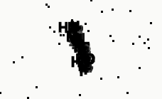 Cc1n[nH]cc1-c1cnn(C2(CC#N)CN(c3cc(F)c(C(=O)NCC(F)(F)F)cc3F)C2)c1